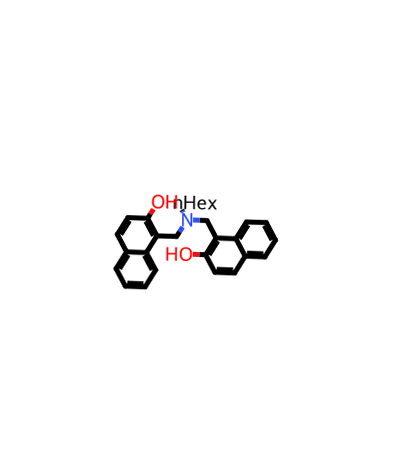 CCCCCCN(Cc1c(O)ccc2ccccc12)Cc1c(O)ccc2ccccc12